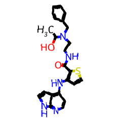 CC(O)N(CCNC(=O)c1sccc1Nc1ccnc2[nH]ccc12)Cc1ccccc1